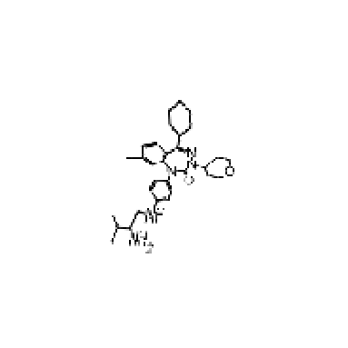 Cc1ccc2c(c1)N(c1ccc(NCC(N)C(C)C)cc1)C(=O)N(C1CCOCC1)N=C2C1CCCCC1